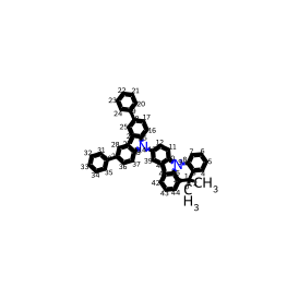 CC1(C)c2ccccc2-n2c3ccc(-n4c5ccc(-c6ccccc6)cc5c5cc(-c6ccccc6)ccc54)cc3c3cccc1c32